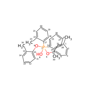 Cc1cccc(OP(O)(Oc2ccccc2C)(c2ccccc2C)c2ccccc2C)c1